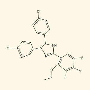 CCOc1c(C2=NC(c3ccc(Cl)cc3)C(c3ccc(Cl)cc3)N2)cc(F)c(F)c1F